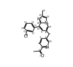 CC(=O)c1ccc(Cc2cc(-c3cccc(Cl)c3)c3nc(C)cn3c2)cn1